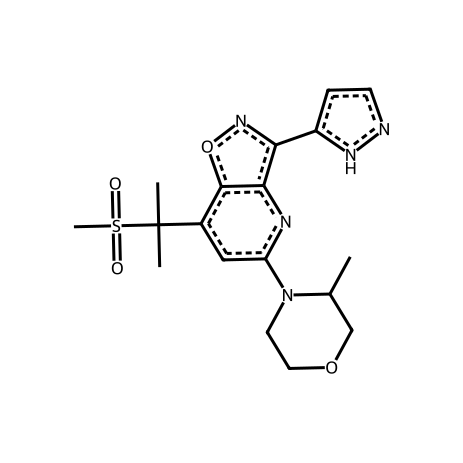 CC1COCCN1c1cc(C(C)(C)S(C)(=O)=O)c2onc(-c3ccn[nH]3)c2n1